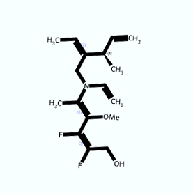 C=C[C@@H](C)/C(=C/C)CN(C=C)/C(C)=C(OC)/C(F)=C(/F)CO